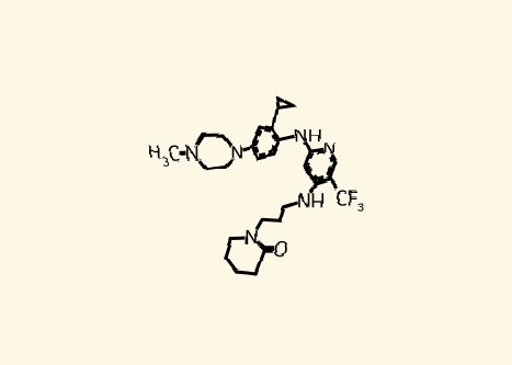 CN1CCN(c2ccc(Nc3cc(NCCCN4CCCCC4=O)c(C(F)(F)F)cn3)c(C3CC3)c2)CC1